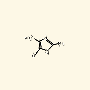 Nc1nc(C(=O)O)c(Cl)[nH]1